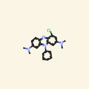 CN(C)c1ccc2nc3c(Cl)cc(N(C)C)cc3[n+](-c3ccccc3)c2c1